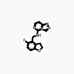 Fc1ccc2c(c1CNc1nccc3nncn13)CCO2